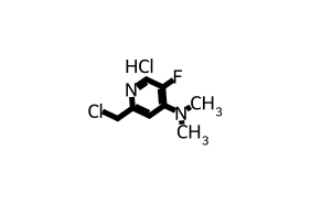 CN(C)c1cc(CCl)ncc1F.Cl